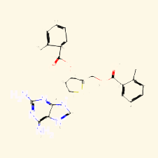 Cc1ccccc1C(=O)OC[C@H]1S[C@H](n2cnc3c(N)nc(N)nc32)C[C@@H]1OC(=O)c1ccccc1C